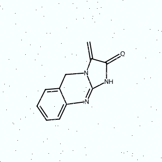 C=c1c(=O)[nH]c2n1Cc1ccccc1N=2